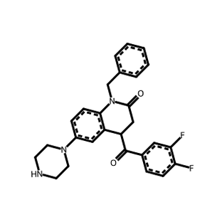 O=C(c1ccc(F)c(F)c1)C1CC(=O)N(Cc2ccccc2)c2ccc(N3CCNCC3)cc21